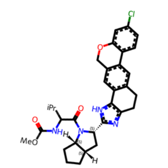 COC(=O)NC(C(=O)N1[C@H](c2nc3c([nH]2)-c2cc4c(cc2CC3)-c2ccc(Cl)cc2OC4)C[C@@H]2CCC[C@@H]21)C(C)C